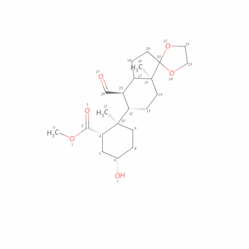 COC(=O)[C@H]1C[C@@H](O)CC[C@]1(C)[C@H]1CC[C@@]2(C)C(CCC23OCCO3)[C@@H]1C=O